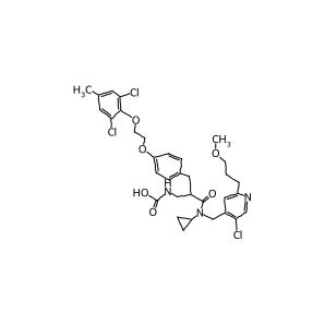 COCCCc1cc(CN(C(=O)C(CNC(=O)O)Cc2ccc(OCCOc3c(Cl)cc(C)cc3Cl)cc2)C2CC2)c(Cl)cn1